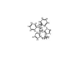 CCCC1=[C]([Hf]([C]2=C(CCC)C=CC2)[SiH](c2ccccc2)c2ccccc2)CC=C1